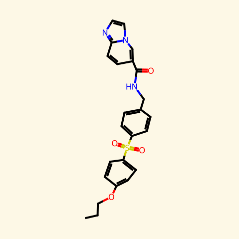 CCCOc1ccc(S(=O)(=O)c2ccc(CNC(=O)c3ccc4nccn4c3)cc2)cc1